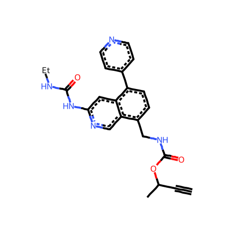 C#CC(C)OC(=O)NCc1ccc(-c2ccncc2)c2cc(NC(=O)NCC)ncc12